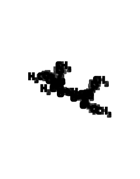 CC1CCC(CCC(=O)OCC(C)(COC(=O)CCNCCC(=O)OCC(C)(COC(=O)CCC2CCC(C)CC2)COC(=O)CCC2CCC(C)CC2)COC(=O)CCC2CCC(C)CC2)CC1